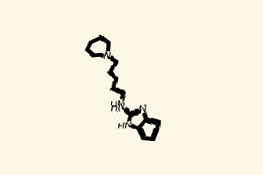 c1ccc2[nH]c(NCCCCCN3CCCCC3)nc2c1